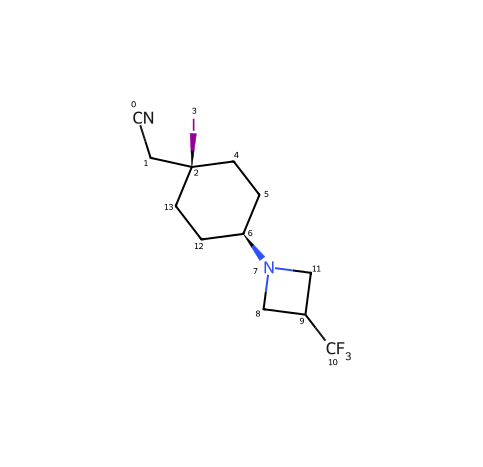 N#CC[C@]1(I)CC[C@@H](N2CC(C(F)(F)F)C2)CC1